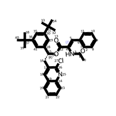 CC(=O)N/C(=C\c1ccccc1)C(=O)O[C@H](Cc1cc2ccccc2nc1Cl)c1cc(C(C)(C)C)cc(C(C)(C)C)c1